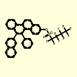 O=S(=O)(Oc1ccc2c(ccc3c4ccccc4c(-c4ccc5ccccc5c4)c(-c4ccccc4)c23)c1)C(F)(F)C(F)(F)C(F)(F)C(F)(F)F